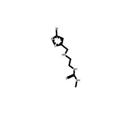 CNC(=S)NCCNCc1cc(Br)no1